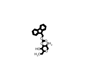 BC1COC(CC)C(O)C1OC(=O)OCC1c2ccccc2-c2ccccc21